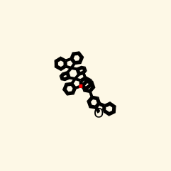 c1ccc2c(c1)-c1ccccc1C21c2ccccc2C2(c3ccccc3-c3ccccc32)c2c(-c3ccc(-c4ccc5oc6ccccc6c5c4)cc3)cccc21